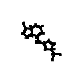 Cc1cnc2c(Nc3cnn(C(C)C)c3)cccn12